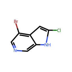 Clc1cc2c(Br)cncc2[nH]1